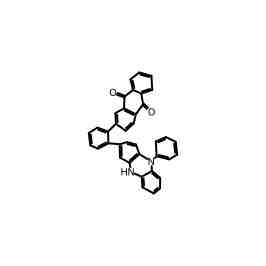 O=C1c2ccccc2C(=O)c2cc(-c3ccccc3-c3ccc4c(c3)Nc3ccccc3N4c3ccccc3)ccc21